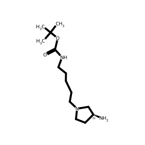 CC(C)(C)OC(=O)NCCCCCN1CC[C@H](N)C1